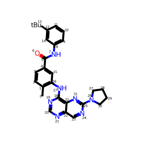 Cc1ccc(C(=O)Nc2cccc(C(C)(C)C)c2)cc1Nc1ncnc2cnc(N3CCCC3)nc12